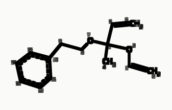 C=COC(C)(C=C)OCCc1ccccc1